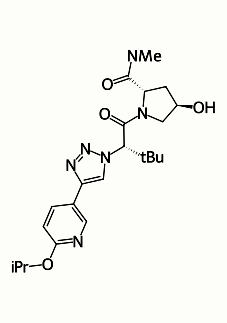 CNC(=O)[C@@H]1C[C@@H](O)CN1C(=O)[C@@H](n1cc(-c2ccc(OC(C)C)nc2)nn1)C(C)(C)C